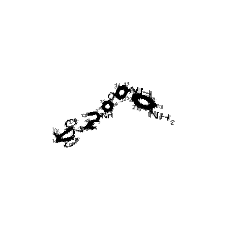 C=C/C(=C\C=C(/C)N1C(=O)CC(C)C1=O)Nc1ccc(Oc2ccc(Nc3ccc(N)cc3)cc2)cc1